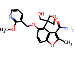 COc1ncccc1COc1ccc2oc(C)c(C(N)=O)c2c1C1(CO)COC1